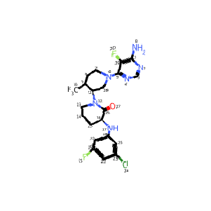 Nc1ncnc(N2CCC(C(F)(F)F)[C@H](N3CCC[C@H](Nc4cc(F)cc(Cl)c4)C3=O)C2)c1F